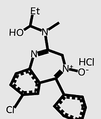 CCC(O)N(C)C1=Nc2ccc(Cl)cc2C(c2ccccc2)=[N+]([O-])C1.Cl